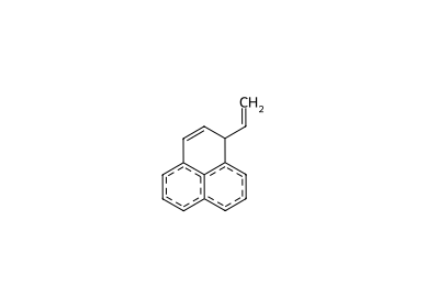 C=CC1C=Cc2cccc3cccc1c23